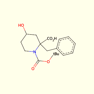 CC(C)(C)OC(=O)N1CCC(O)CC1(Cc1ccccc1)C(=O)O